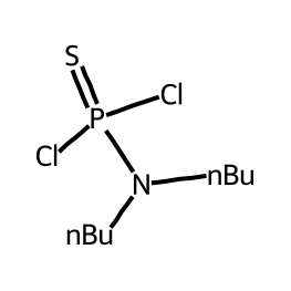 CCCCN(CCCC)P(=S)(Cl)Cl